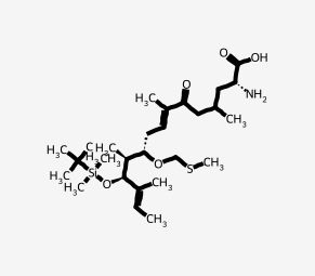 C/C=C(\C)[C@@H](O[Si](C)(C)C(C)(C)C)[C@@H](C)[C@H](C/C=C(\C)C(=O)CC(C)C[C@@H](N)C(=O)O)OCSC